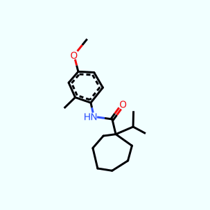 COc1ccc(NC(=O)C2(C(C)C)CCCCCC2)c(C)c1